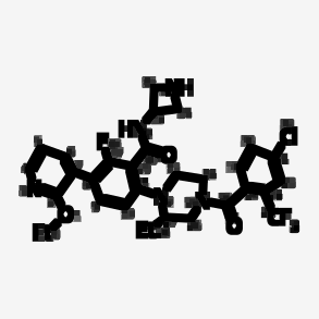 CCOc1ncccc1-c1ccc(N2CCN(C(=O)c3ccc(Cl)cc3C(F)(F)F)C[C@H]2CC)c(C(=O)NC2CNC2)c1F